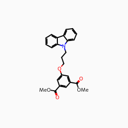 COC(=O)c1cc(OCCCn2c3ccccc3c3ccccc32)cc(C(=O)OC)c1